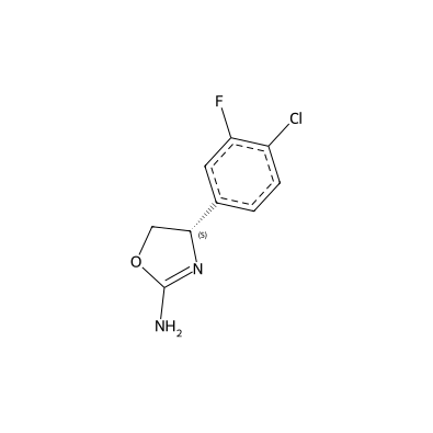 NC1=N[C@@H](c2ccc(Cl)c(F)c2)CO1